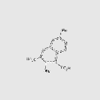 CCCCc1ccc2c(C(=O)O)c(CCCC)c(C(=O)O)cc2c1